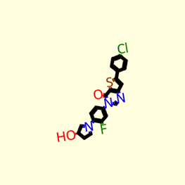 O=c1c2sc(-c3ccc(Cl)cc3)cc2ncn1-c1ccc(N2CC[C@@H](O)C2)c(F)c1